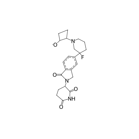 [O]C1CCC1N1CCCC(F)(c2ccc3c(c2)CN(C2CCC(=O)NC2=O)C3=O)C1